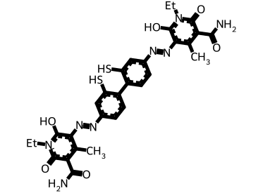 CCn1c(O)c(N=Nc2ccc(-c3ccc(N=Nc4c(C)c(C(N)=O)c(=O)n(CC)c4O)cc3S)c(S)c2)c(C)c(C(N)=O)c1=O